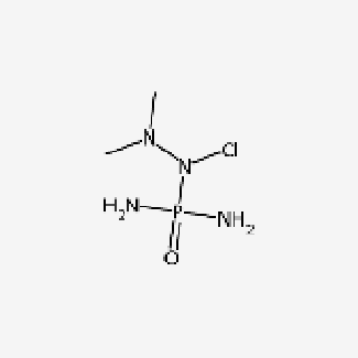 CN(C)N(Cl)P(N)(N)=O